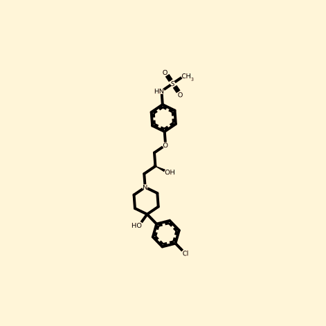 CS(=O)(=O)Nc1ccc(OC[C@@H](O)CN2CCC(O)(c3ccc(Cl)cc3)CC2)cc1